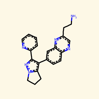 NCCc1cnc2ccc(-c3c(-c4ccccn4)nn4c3CCC4)cc2n1